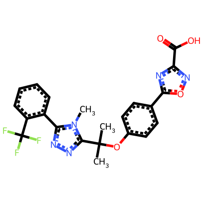 Cn1c(-c2ccccc2C(F)(F)F)nnc1C(C)(C)Oc1ccc(-c2nc(C(=O)O)no2)cc1